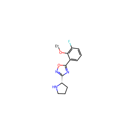 CCOc1c(F)cccc1-c1nc([C@@H]2CCCN2)no1